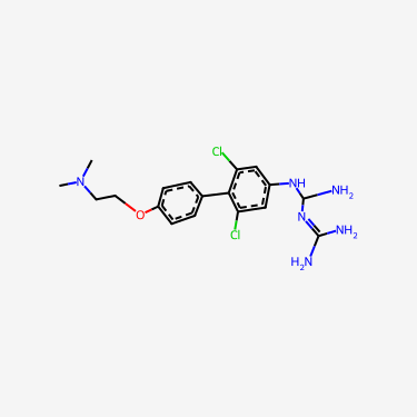 CN(C)CCOc1ccc(-c2c(Cl)cc(NC(N)N=C(N)N)cc2Cl)cc1